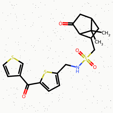 CC1(C)C2CC(=O)C1C(CS(=O)(=O)NCc1ccc(C(=O)c3ccsc3)s1)C2